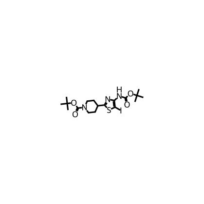 CC(C)(C)OC(=O)Nc1nc(C2CCN(C(=O)OC(C)(C)C)CC2)sc1I